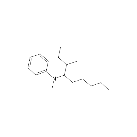 CCCCCC(C(C)CC)N(C)c1ccccc1